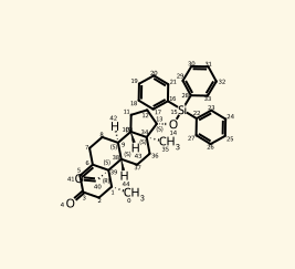 C[C@@H]1CC(=O)C=C2CC[C@H]3[C@@H]4CC[C@H](O[Si](c5ccccc5)(c5ccccc5)c5ccccc5)[C@@]4(C)CC[C@@H]3[C@]21C=O